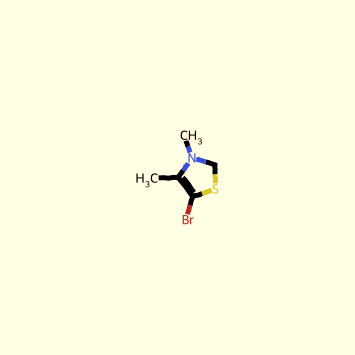 CC1=C(Br)SCN1C